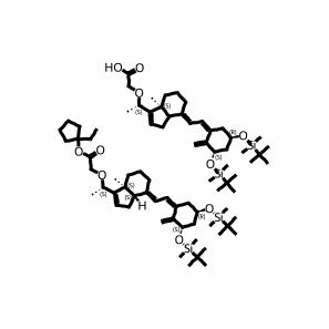 C=C1C(=CC=C2CCC[C@]3(C)C([C@H](C)OCC(=O)O)=CCC23)C[C@@H](O[Si](C)(C)C(C)(C)C)C[C@@H]1O[Si](C)(C)C(C)(C)C.C=C1C(=CC=C2CCC[C@]3(C)C([C@H](C)OCC(=O)OC4(CC)CCCC4)=CC[C@@H]23)C[C@@H](O[Si](C)(C)C(C)(C)C)C[C@@H]1O[Si](C)(C)C(C)(C)C